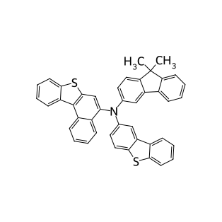 CC1(C)c2ccccc2-c2cc(N(c3ccc4sc5ccccc5c4c3)c3cc4sc5ccccc5c4c4ccccc34)ccc21